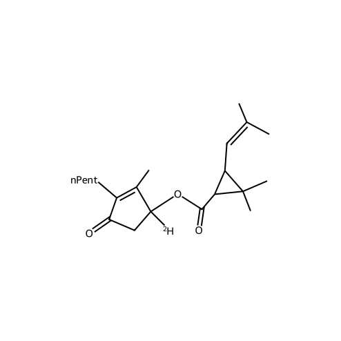 [2H]C1(OC(=O)C2C(C=C(C)C)C2(C)C)CC(=O)C(CCCCC)=C1C